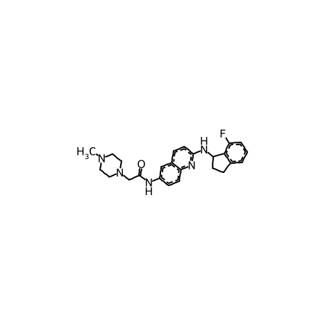 CN1CCN(CC(=O)Nc2ccc3nc(NC4CCc5cccc(F)c54)ccc3c2)CC1